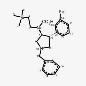 C[Si](C)(C)CCN(C(=O)O)[C@@H]1CN(Cc2ccccc2)C[C@H]1c1cccc(F)c1